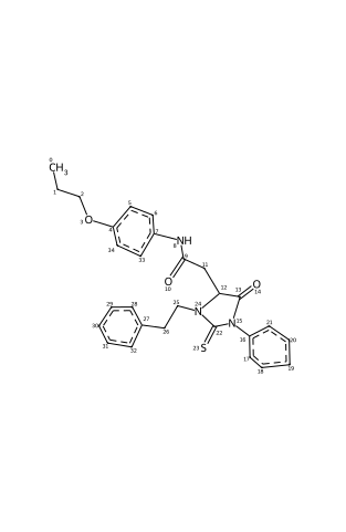 CCCOc1ccc(NC(=O)CC2C(=O)N(c3ccccc3)C(=S)N2CCc2ccccc2)cc1